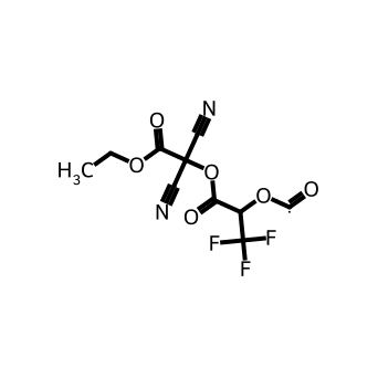 CCOC(=O)C(C#N)(C#N)OC(=O)C(O[C]=O)C(F)(F)F